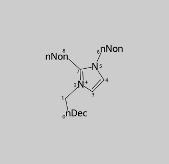 CCCCCCCCCCC[n+]1ccn(CCCCCCCCC)c1CCCCCCCCC